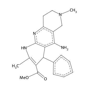 COC(=O)C1=C(C)Nc2nc3c(c(N)c2C1c1ccccc1)CN(C)CC3